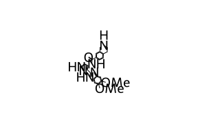 COc1cc2nc(-c3n[nH]cc3NC(=O)c3ccc4c(c3)CNCC4)[nH]c2cc1OC